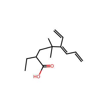 C=C/C=C(\C=C)C(C)(C)CC(CC)C(=O)O